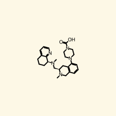 CN1Cc2cccc(N3CCN(C(=O)O)CC3)c2C[C@@H]1CN(C)[C@H]1CCCc2cccnc21